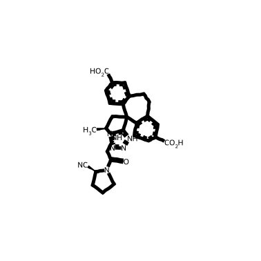 C[C@@H](CC1(c2nnn[nH]2)c2ccc(C(=O)O)cc2CCc2cc(C(=O)O)ccc21)NCC(=O)N1CCC[C@H]1C#N